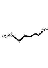 CCCCCCCC[Se]O